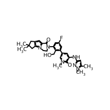 Cc1cc(Nc2cc(-c3cc(F)cc(N4CCn5c(cc6c5CC(C)(C)C6)C4=O)c3CO)cn(C)c2=O)nn1C